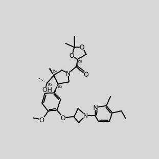 CCc1ccc(N2CC(Oc3cc([C@@H]4CN(C(=O)[C@@H]5COC(C)(C)O5)C[C@@]4(C)[C@@H](C)O)ccc3OC)C2)nc1C